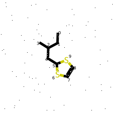 CCC(C)CC1SC=CS1